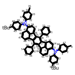 Cc1ccc(N(c2ccc(C(C)(C)C)cc2)c2ccc3c4c(-c5ccccc5)c5c6ccc(N(c7ccc(C)cc7)c7ccc(C(C)(C)C)cc7)c7cccc(c5c(-c5ccccc5)c4c4cccc2c43)c76)cc1